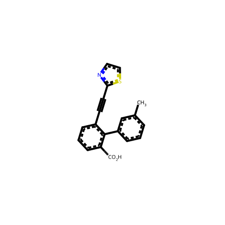 Cc1cccc(-c2c(C#Cc3nccs3)cccc2C(=O)O)c1